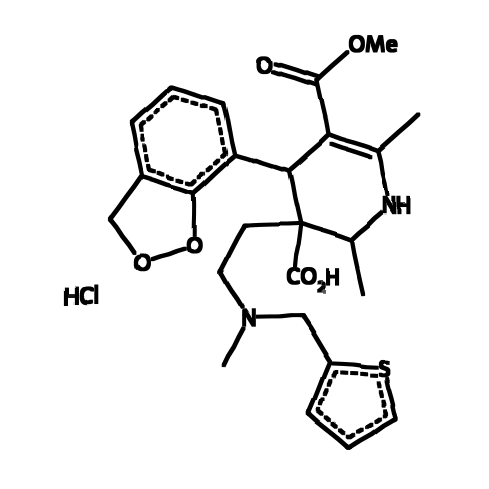 COC(=O)C1=C(C)NC(C)C(CCN(C)Cc2cccs2)(C(=O)O)C1c1cccc2c1OOC2.Cl